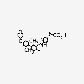 Cc1cc(OC2CCOCC2)cc(C)c1-c1ccc(F)c2c1CC[C@H]2Nc1ccc([C@@H]2C[C@H]2C(=O)O)cn1